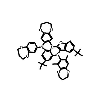 Cc1cc2c(c(C)c1N1c3cc(C(C)(C)C)cc4c3B(c3cc5c(cc3N4c3ccc4c(c3)OCCCO4)OCCCO5)c3oc4ccc(C(C)(C)C)cc4c31)OCCCO2